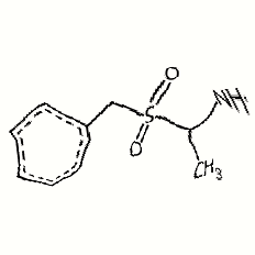 CC([NH])S(=O)(=O)Cc1ccccc1